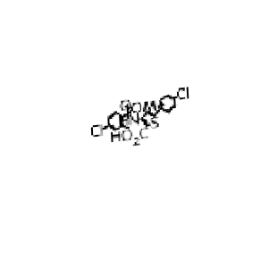 COP(=O)(Nc1cc(-c2ccc(Cl)cc2)sc1C(=O)O)c1ccc(Cl)cc1C